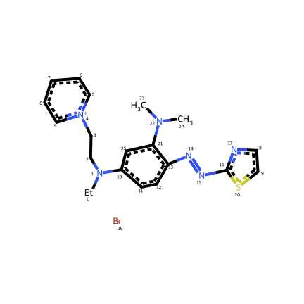 CCN(CC[n+]1ccccc1)c1ccc(N=Nc2nccs2)c(N(C)C)c1.[Br-]